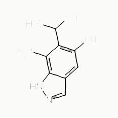 Bc1c(C(C)C)c(C)cc2cn[nH]c12